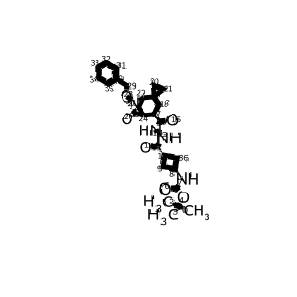 CC(C)(C)OC(=O)N[C@H]1C[C@H](C(=O)NNC(=O)[C@@H]2CC3(CC3)C3CC2C(=O)N3OCc2ccccc2)C1